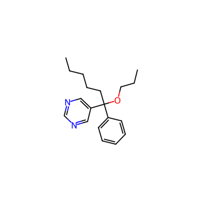 CCCCCC(OCCC)(c1ccccc1)c1cncnc1